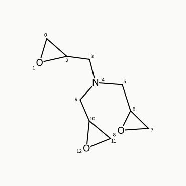 C1OC1CN(CC1CO1)CC1CO1